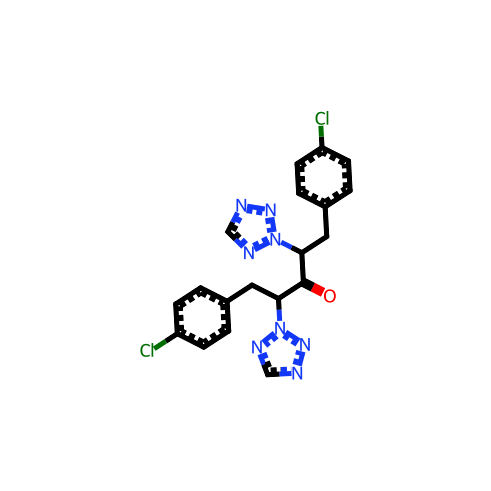 O=C(C(Cc1ccc(Cl)cc1)n1ncnn1)C(Cc1ccc(Cl)cc1)n1ncnn1